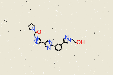 O=C(Cn1cc(-c2cnc(-c3cccc(-c4cnn(CCO)c4)c3)nc2)cn1)N1CCCC1